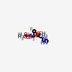 CC(C)(C)OC(=O)CN1CCC(OCCCCc2ccc3c(n2)CCCN3)C1c1cc(F)ccc1C1CCC(C)(C)O1